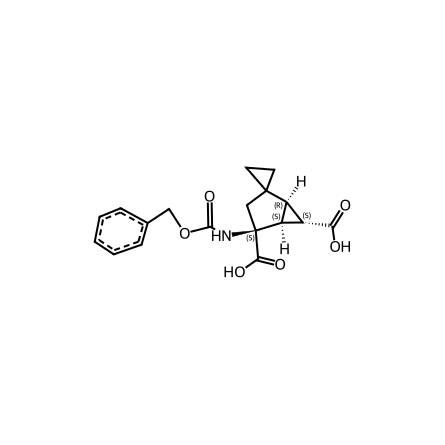 O=C(N[C@@]1(C(=O)O)CC2(CC2)[C@H]2[C@H](C(=O)O)[C@H]21)OCc1ccccc1